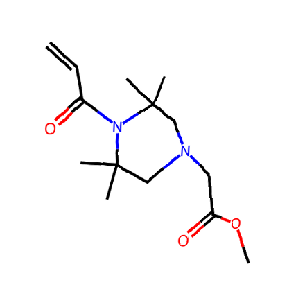 C=CC(=O)N1C(C)(C)CN(CC(=O)OC)CC1(C)C